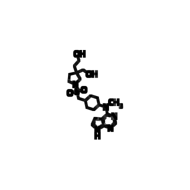 CN(c1ncnc2[nH]ccc12)C1CCC(CS(=O)(=O)N2CCC(CO)(CCO)C2)CC1